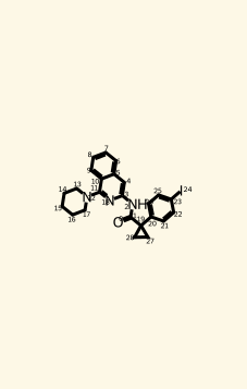 O=C(Nc1cc2ccccc2c(N2CCCCC2)n1)C1(c2ccc(I)cc2)CC1